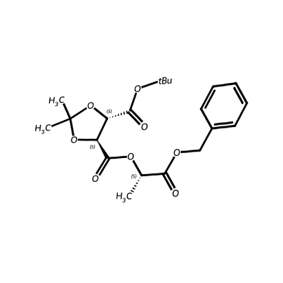 C[C@H](OC(=O)[C@H]1OC(C)(C)O[C@@H]1C(=O)OC(C)(C)C)C(=O)OCc1ccccc1